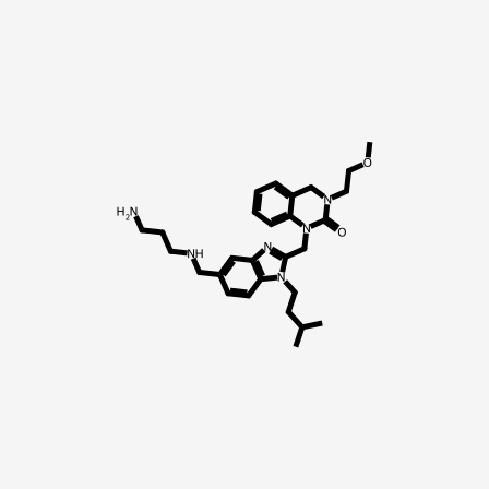 COCCN1Cc2ccccc2N(Cc2nc3cc(CNCCCN)ccc3n2CCC(C)C)C1=O